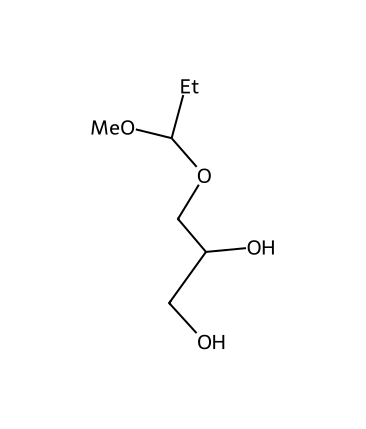 [CH2]CC(OC)OCC(O)CO